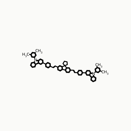 Cc1cc(C)cc(-n2c3ccccc3c3cc(-c4ccc(/C=C/c5ccc6c(c5)C5(CCCC5)c5cc(/C=C/c7ccc(-c8ccc9c(c8)c8ccccc8n9-c8cc(C)cc(C)c8)cc7)ccc5-6)cc4)ccc32)c1